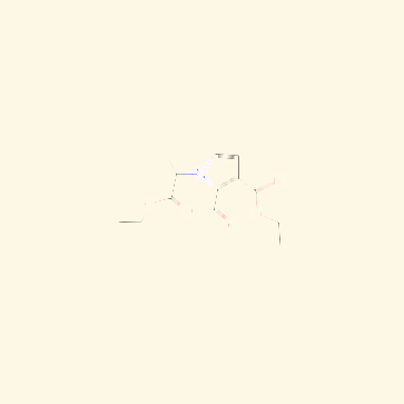 CCOC(=O)c1ccn(C(C)C(=O)OCC)c1C=O